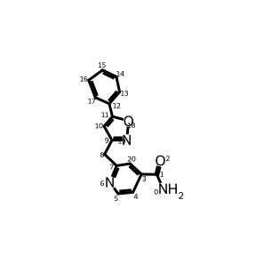 NC(=O)c1ccnc(Cc2cc(-c3ccccc3)on2)c1